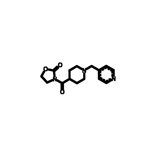 O=C1OCCN1C(=O)C1CCN(Cc2ccncc2)CC1